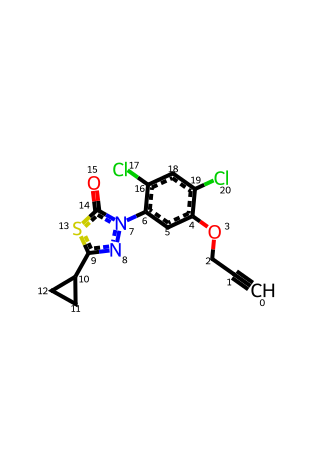 C#CCOc1cc(-n2nc(C3CC3)sc2=O)c(Cl)cc1Cl